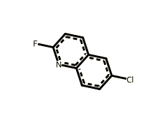 Fc1ccc2cc(Cl)ccc2n1